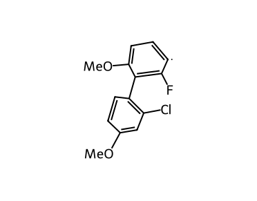 COc1ccc(-c2c(F)[c]ccc2OC)c(Cl)c1